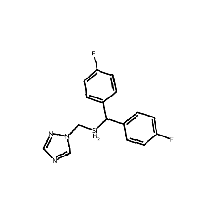 Fc1ccc(C([SiH2]Cn2cncn2)c2ccc(F)cc2)cc1